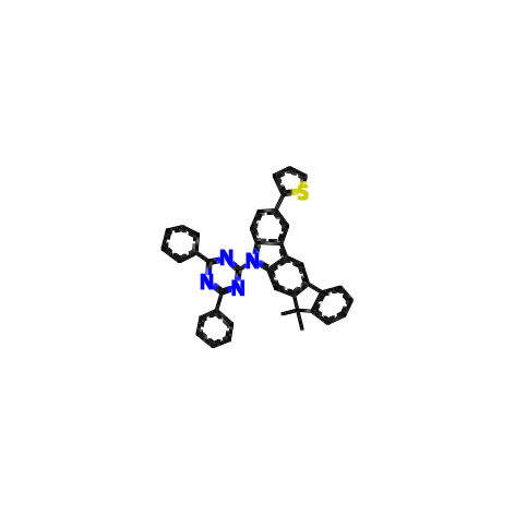 CC1(C)c2ccccc2-c2cc3c4cc(-c5cccs5)ccc4n(-c4nc(-c5ccccc5)nc(-c5ccccc5)n4)c3cc21